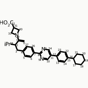 C=C(C(Cc1ccc(-c2ncc(-c3ccc(C4CCCCC4)cc3)cn2)cc1)C(C)C)N1CC(C(=O)O)C1